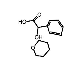 C1CCOCC1.O=C(O)C(O)c1ccccc1